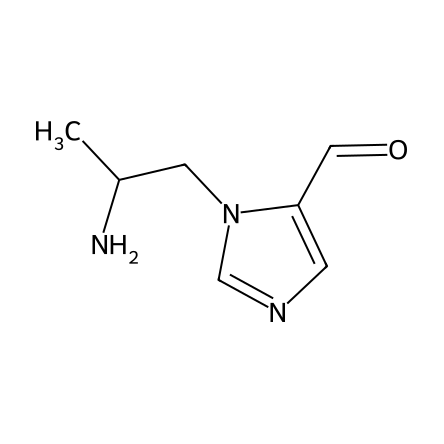 CC(N)Cn1cncc1C=O